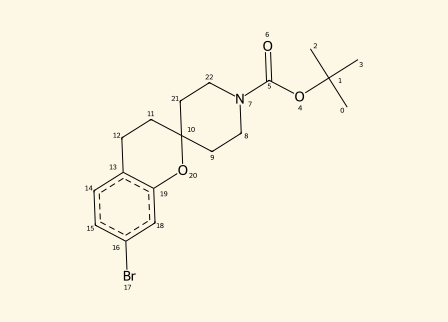 CC(C)(C)OC(=O)N1CCC2(CCc3ccc(Br)cc3O2)CC1